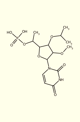 COC1C(OC(C)C)C(C(C)OP(=O)(O)O)OC1n1ccc(=O)[nH]c1=O